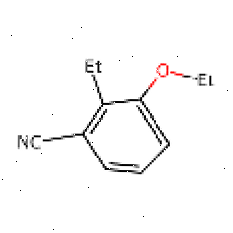 CCOc1cccc(C#N)c1CC